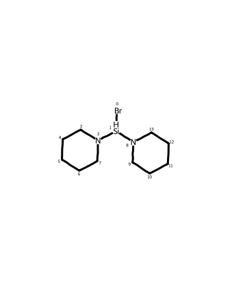 Br[SiH](N1CCCCC1)N1CCCCC1